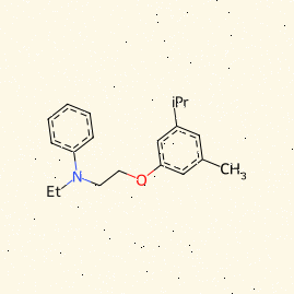 CCN(CCOc1cc(C)cc(C(C)C)c1)c1ccccc1